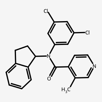 Cc1cnccc1C(=O)N(c1cc(Cl)cc(Cl)c1)C1CCc2ccccc21